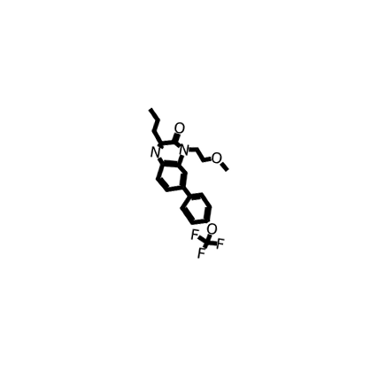 CCCc1nc2ccc(-c3ccc(OC(F)(F)F)cc3)cc2n(CCOC)c1=O